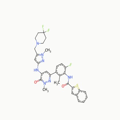 Cc1c(-c2cc(Nc3cc(CN4CCC(F)(F)CC4)n(C)n3)c(=O)n(C)n2)ccc(F)c1NC(=O)c1cc2ccccc2s1